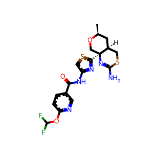 C[C@H]1C[C@H]2CSC(N)=N[C@@]2(c2nc(NC(=O)c3ccc(OC(F)F)nc3)cs2)CO1